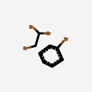 BrCC(Br)Br.Brc1ccccc1